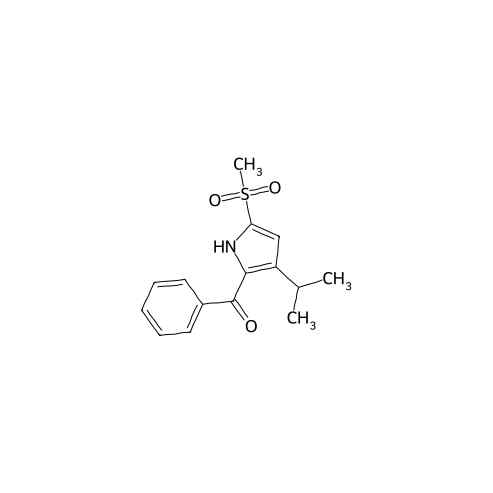 CC(C)c1cc(S(C)(=O)=O)[nH]c1C(=O)c1ccccc1